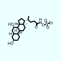 CCS(=O)(=O)ONC(=O)CCC(C)[C@H]1CC[C@H]2[C@@H]3[C@H](O)C[C@@H]4C[C@H](O)CC[C@]4(C)[C@H]3CC[C@]12C